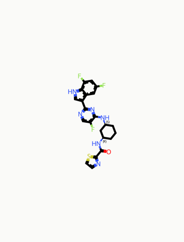 O=C(N[C@@H]1CCC[C@H](Nc2nc(-c3c[nH]c4c(F)cc(F)cc34)ncc2F)C1)c1nccs1